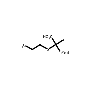 CCCCCC(C)(SCCC(F)(F)F)C(=O)O